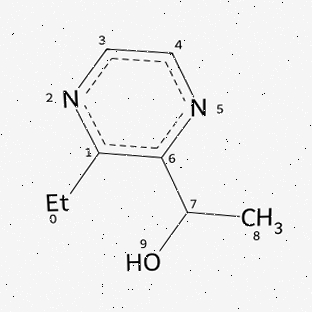 CCc1nccnc1C(C)O